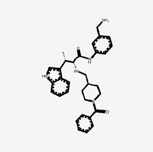 C[C@@H](c1c[nH]c2ccccc12)[C@@H](NCC1CCN(C(=O)c2ccccc2)CC1)C(=O)Nc1cccc(CN)c1